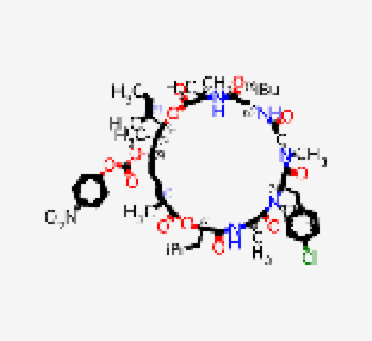 C/C=C(\C)[C@H]1OC(=O)C(C)(C)NC(=O)[C@H]([C@H](C)CC)NC(=O)CN(C)C(=O)[C@@H](Cc2ccc(Cl)cc2)N(C)C(=O)[C@H](C)NC(=O)[C@@H](CC(C)C)OC(=O)/C(C)=C/C[C@H](OC(=O)Oc2ccc([N+](=O)[O-])cc2)[C@@H]1C